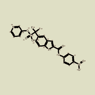 O=C(Oc1ccc([N+](=O)[O-])cc1)c1cc2cc(C(F)(F)P(=O)(O)Oc3cccnc3)ccc2s1